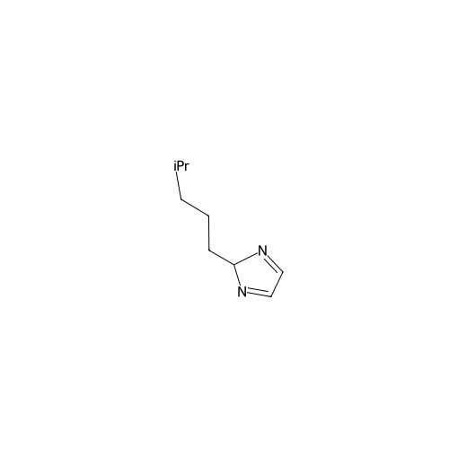 CC(C)CCCC1N=CC=N1